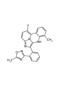 Cc1nc(-c2ccccc2-c2nc3ccc(F)c4n3c2Nc2c(C)cccc2-4)no1